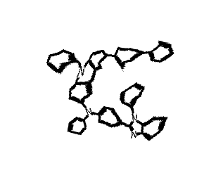 c1ccc(-c2ccc(-c3ccc4c(c3)c3cc(N(c5ccccc5)c5ccc(-c6nc7ccccc7n6-c6ccccc6)cc5)ccc3n4-c3ccccc3)cc2)cc1